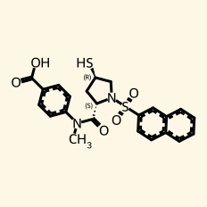 CN(C(=O)[C@@H]1C[C@@H](S)CN1S(=O)(=O)c1ccc2ccccc2c1)c1ccc(C(=O)O)cc1